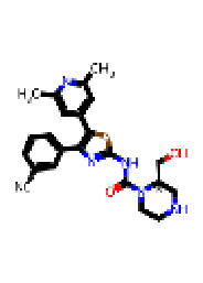 Cc1cc(-c2sc(NC(=O)N3CCNC[C@@H]3CO)nc2-c2cccc(C#N)c2)cc(C)n1